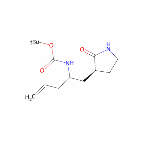 C=CCC(C[C@@H]1CCNC1=O)NC(=O)OC(C)(C)C